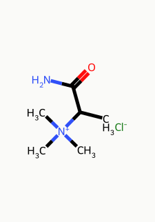 CC(C(N)=O)[N+](C)(C)C.[Cl-]